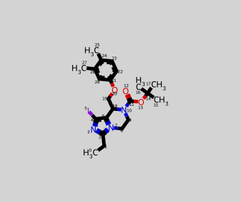 CCc1nc(I)c2n1CCN(C(=O)OC(C)(C)C)C2COc1ccc(C)c(C)c1